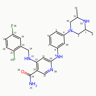 CC1CN(c2cccc(Nc3cc(NCc4cc(F)ccc4F)c(C(N)=O)cn3)c2)CC(C)N1